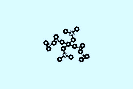 c1ccc(-c2nc(-c3ccccc3)nc(-c3cccc(-c4cc(-c5ccc(-n6c7ccccc7c7cc(-n8c9ccccc9c9ccccc98)ccc76)cc5)c(-c5cccc(-c6nc(-c7ccccc7)nc(-c7ccccc7)n6)c5)cc4-c4ccc(-n5c6ccccc6c6cc(-n7c8ccccc8c8ccccc87)ccc65)cc4)c3)n2)cc1